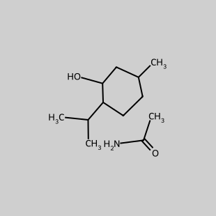 CC(N)=O.CC1CCC(C(C)C)C(O)C1